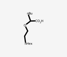 CCCCCCCCOC(CCCC)C(=O)O